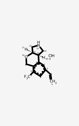 C=Cc1cc2c(c(C(F)(F)F)c1)CO[C@H]1CNC[C@@H]21.Cl